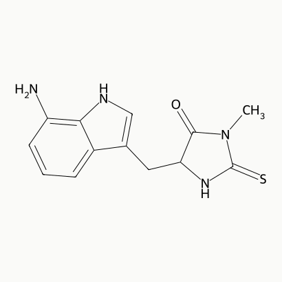 CN1C(=O)C(Cc2c[nH]c3c(N)cccc23)NC1=S